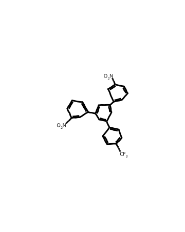 O=[N+]([O-])c1cccc(-c2cc(-c3ccc(C(F)(F)F)cc3)cc(-c3cccc([N+](=O)[O-])c3)c2)c1